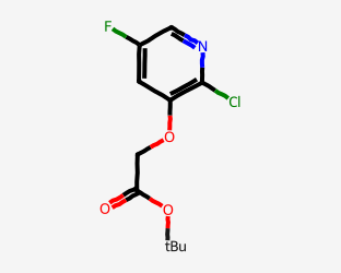 CC(C)(C)OC(=O)COc1cc(F)cnc1Cl